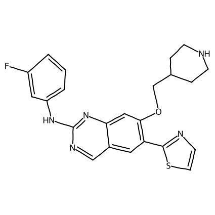 Fc1cccc(Nc2ncc3cc(-c4nccs4)c(OCC4CCNCC4)cc3n2)c1